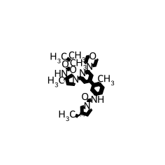 CC[C@@H]1CCN(C(=O)Nc2ccc(C)c(-c3cc(N4CCOCC4)nc(N4CC[C@](C)(NC(=O)OC(C)(C)C)C4)c3)c2)C1